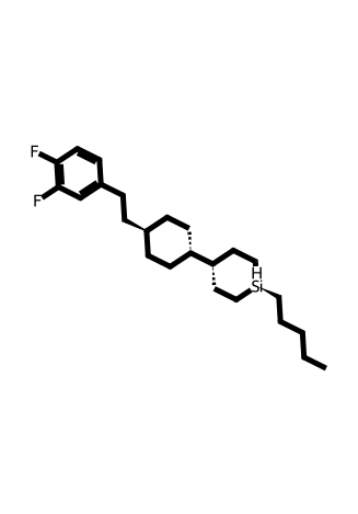 CCCCC[Si@H]1CC[C@H]([C@H]2CC[C@H](CCc3ccc(F)c(F)c3)CC2)CC1